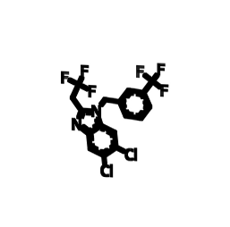 FC(F)(F)Cc1nc2cc(Cl)c(Cl)cc2n1Cc1cccc(C(F)(F)F)c1